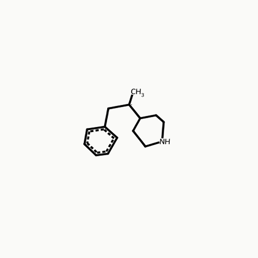 C[C](Cc1ccccc1)C1CCNCC1